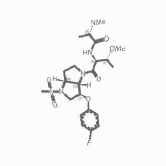 CN[C@@H](C)C(=O)N[C@H](C(=O)N1CC[C@@H]2[C@H]1[C@@H](Oc1ccc(F)cc1)CN2S(C)(=O)=O)[C@@H](C)OC